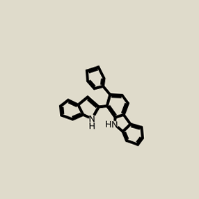 c1ccc(-c2ccc3c([nH]c4ccccc43)c2-c2cc3ccccc3[nH]2)cc1